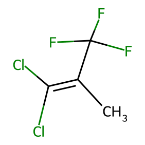 CC(=C(Cl)Cl)C(F)(F)F